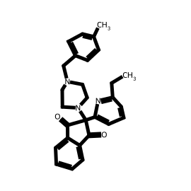 CCc1cccc(C2(N3CCN(Cc4ccc(C)cc4)CC3)C(=O)c3ccccc3C2=O)n1